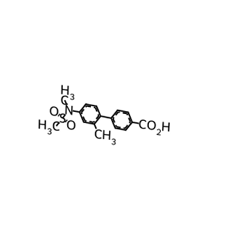 Cc1cc(N(C)S(C)(=O)=O)ccc1-c1ccc(C(=O)O)cc1